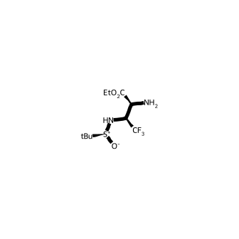 CCOC(=O)[C@@H](N)[C@H](N[S@@+]([O-])C(C)(C)C)C(F)(F)F